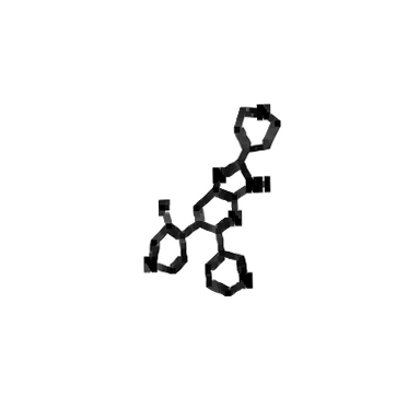 Fc1cnccc1-c1cc2nc(-c3ccncc3)[nH]c2nc1-c1cccnc1